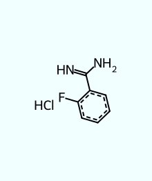 Cl.N=C(N)c1ccccc1F